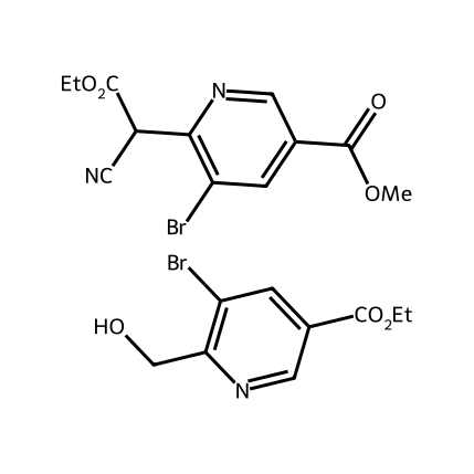 CCOC(=O)C(C#N)c1ncc(C(=O)OC)cc1Br.CCOC(=O)c1cnc(CO)c(Br)c1